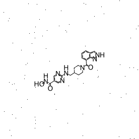 O=C(NO)c1cnc(NCC2CCN(C(=O)c3cccc4c[nH]nc34)CC2)nc1